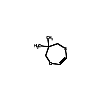 CC1(C)COC=CSC1